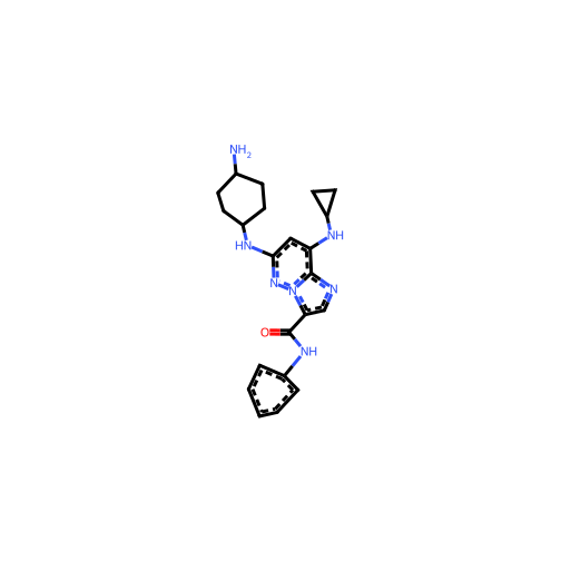 NC1CCC(Nc2cc(NC3CC3)c3ncc(C(=O)Nc4ccccc4)n3n2)CC1